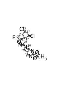 CS(=O)(=O)c1ncc2c(n1)CN(C1=NOC(c3cc(Cl)cc(Cl)c3)(C(F)(F)F)C1)C2